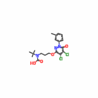 Cc1cccc(-n2nc(OCCCN(C(=O)O)C(C)(C)C)c(Cl)c(Cl)c2=O)c1